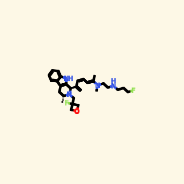 C=C(/C=C\C=C(/C)N(C)CCNCCCF)[C@@H]1c2[nH]c3ccccc3c2C[C@@H](C)N1CC1(F)COC1